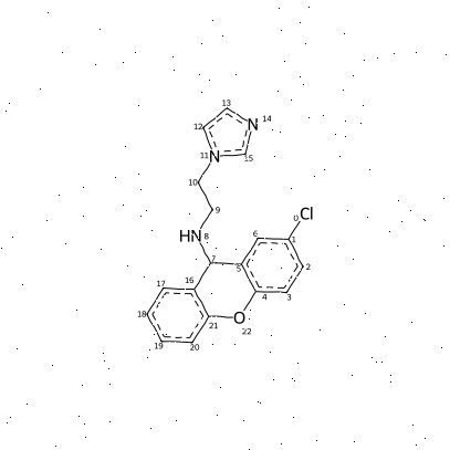 Clc1ccc2c(c1)C(NCCn1ccnc1)c1ccccc1O2